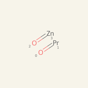 [O]=[Pr].[O]=[Zn]